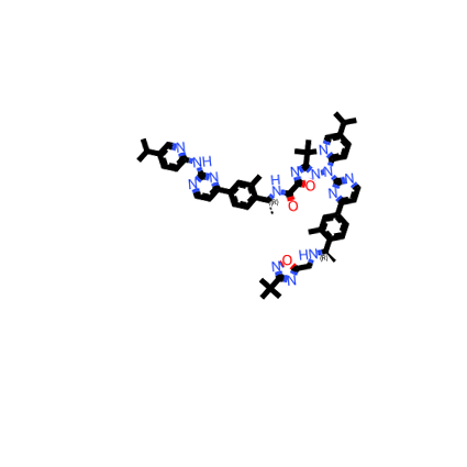 Cc1cc(-c2ccnc(N(c3ccc(C(C)C)cn3)[n+]3oc(C(=O)N[C@H](C)c4ccc(-c5ccnc(Nc6ccc(C(C)C)cn6)n5)cc4C)nc3C(C)(C)C)n2)ccc1[C@@H](C)NCc1nc(C(C)(C)C)no1